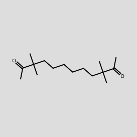 CC(=O)C(C)(C)CCCCCCC(C)(C)C(C)=O